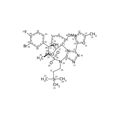 COc1cccc(OC)c1-n1c(-c2ccc(C)o2)nnc1N(CC[Si](C)(C)C)S(=O)(=O)[C@@H](C)[C@H](O)c1ccc(F)c(Br)c1